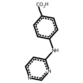 O=C(O)c1ccc(Nc2ccncn2)cc1